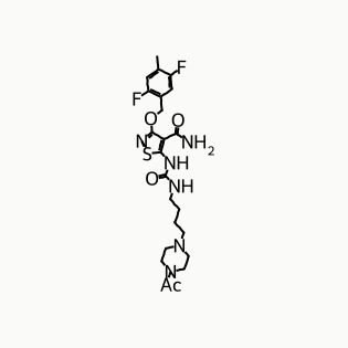 CC(=O)N1CCN(CCCCNC(=O)Nc2snc(OCc3cc(F)c(C)cc3F)c2C(N)=O)CC1